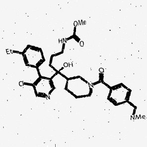 CCc1cccc(-c2c(Cl)cncc2[C@](O)(CCCNC(=O)OC)[C@@H]2CCCN(C(=O)c3ccc(CNC)cc3)C2)c1